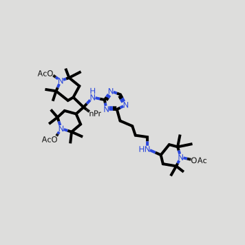 CCCC(Nc1ncnc(CCCCNC2CC(C)(C)N(OC(C)=O)C(C)(C)C2)n1)(C1CC(C)(C)N(OC(C)=O)C(C)(C)C1)C1CC(C)(C)N(OC(C)=O)C(C)(C)C1